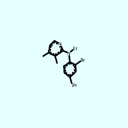 CCN(c1ccc(C(C)C)cc1Br)c1nccc(C)c1C